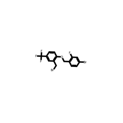 Fc1cc(Br)ccc1COc1ccc(C(F)(F)F)cc1CBr